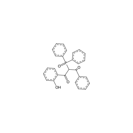 O=C(c1ccccc1)C(C(=O)c1ccccc1O)P(=O)(c1ccccc1)c1ccccc1